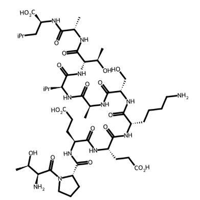 CC(C)C[C@H](NC(=O)[C@H](C)NC(=O)[C@@H](NC(=O)[C@@H](NC(=O)[C@H](C)NC(=O)[C@H](CO)NC(=O)[C@H](CCCCN)NC(=O)[C@H](CCC(=O)O)NC(=O)[C@H](CCC(=O)O)NC(=O)[C@@H]1CCCN1C(=O)[C@@H](N)[C@@H](C)O)C(C)C)[C@@H](C)O)C(=O)O